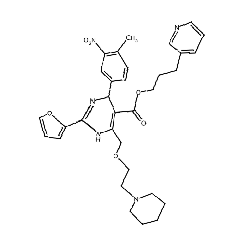 Cc1ccc(C2N=C(c3ccco3)NC(COCCN3CCCCC3)=C2C(=O)OCCCc2cccnc2)cc1[N+](=O)[O-]